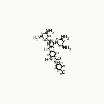 COc1ccc(NC(=O)c2ccc(Nc3nc(N4C[C@H](N)C[C@H](N)C4)nc(N4C[C@H](N)C[C@H](N)C4)n3)cc2O)cc1